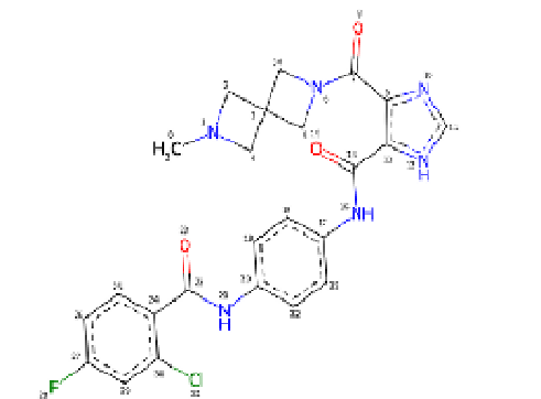 CN1CC2(C1)CN(C(=O)c1nc[nH]c1C(=O)Nc1ccc(NC(=O)c3ccc(F)cc3Cl)cc1)C2